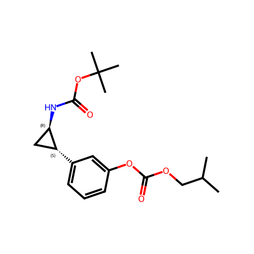 CC(C)COC(=O)Oc1cccc([C@@H]2C[C@H]2NC(=O)OC(C)(C)C)c1